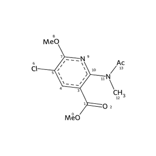 COC(=O)c1cc(Cl)c(OC)nc1N(C)C(C)=O